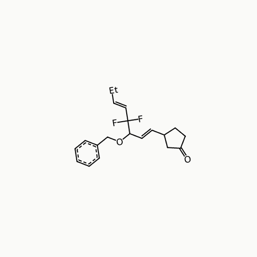 CC/C=C/C(F)(F)C(/C=C/C1CCC(=O)C1)OCc1ccccc1